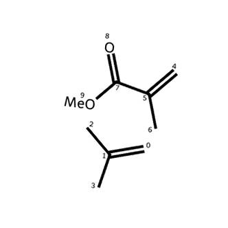 C=C(C)C.C=C(C)C(=O)OC